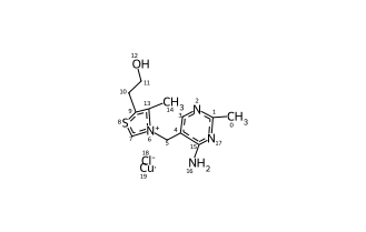 Cc1ncc(C[n+]2csc(CCO)c2C)c(N)n1.[Cl-].[Cu]